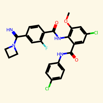 COc1cc(Cl)cc(C(=O)Nc2ccc(Cl)cc2)c1NC(=O)c1ccc(C(=N)N2CCC2)cc1F